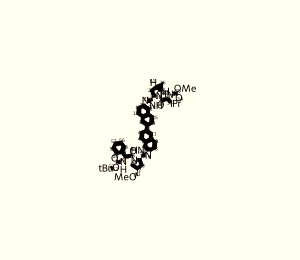 COC[C@H]1C[C@@H](c2nc3ccc4cc(-c5ccc6c(ccc7nc([C@@H]8C[C@H]9C[C@H]9N8C(=O)C(NC(=O)OC)C(C)C)[nH]c76)c5)ccc4c3[nH]2)N(C(=O)[C@H](NC(=O)OC(C)(C)C)c2ccccc2)C1